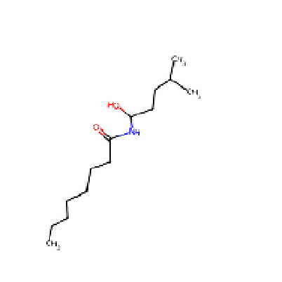 CCCCCCCC(=O)NC(O)CCC(C)C